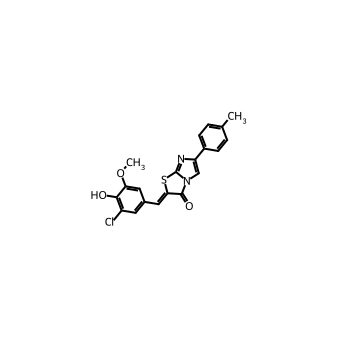 COc1cc(/C=c2\sc3nc(-c4ccc(C)cc4)cn3c2=O)cc(Cl)c1O